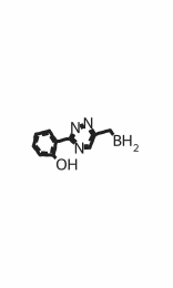 BCc1cnc(-c2ccccc2O)nn1